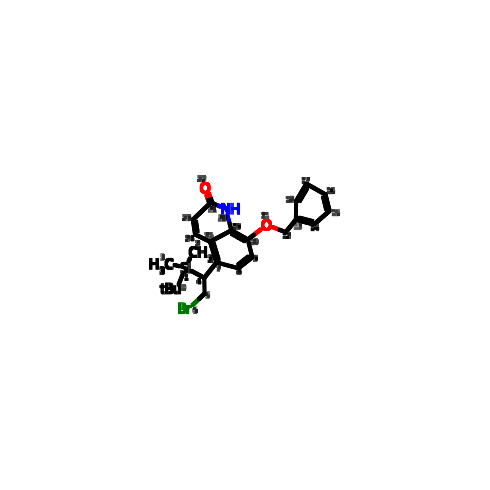 CC(C)(C)[Si](C)(C)C(CBr)c1ccc(OCc2ccccc2)c2[nH]c(=O)ccc12